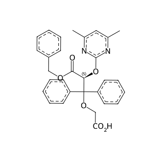 Cc1cc(C)nc(O[C@H](C(=O)OCc2ccccc2)C(OCC(=O)O)(c2ccccc2)c2ccccc2)n1